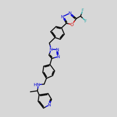 CC(NCc1ccc(-c2cn(Cc3ccc(-c4nnc(C(F)F)o4)cc3)nn2)cc1)c1ccncc1